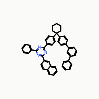 c1ccc(-c2cccc(-c3ccc(C4(c5ccc(-c6nc(-c7ccccc7)nc(-c7ccc8ccccc8c7)n6)cc5)CCCCC4)cc3)c2)cc1